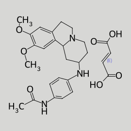 COc1cc2c(cc1OC)C1CC(Nc3ccc(NC(C)=O)cc3)CCN1CC2.O=C(O)/C=C/C(=O)O